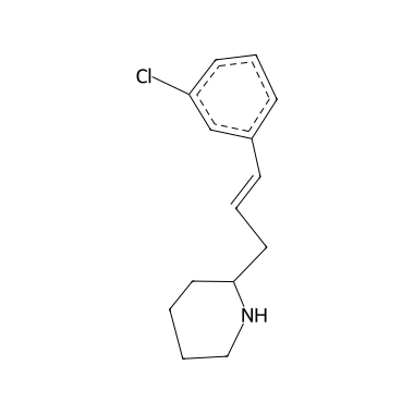 Clc1cccc(C=CCC2CCCCN2)c1